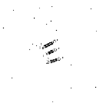 [O]=[Fe].[O]=[Y].[O]=[Zr]